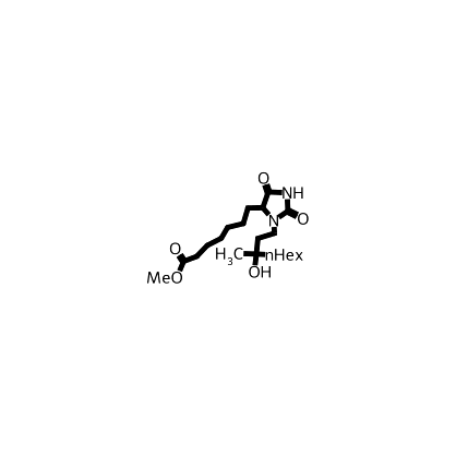 CCCCCCC(C)(O)CCN1C(=O)NC(=O)C1CCCCCCC(=O)OC